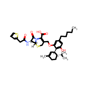 CCCCCc1cc(O)c([C@@H]2C=C(C)CC[C@H]2C(C)C)c(OCC2=C(C(=O)O)N3C(=O)[C@@H](NC(=O)Cc4cccs4)[C@H]3SC2)c1